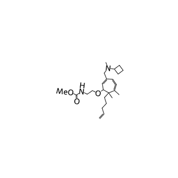 C=CCCCC1(C)C(C)=C=CC(CN(C)C2CCC2)=CC1OCCNC(=O)OC